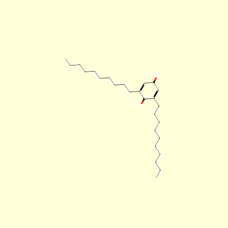 CCCCCCCCCCC1=CC(=O)C=C(CCCCCCCCCC)C1=O